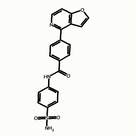 NS(=O)(=O)c1ccc(NC(=O)c2ccc(-c3nccc4occc34)cc2)cc1